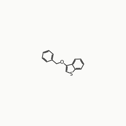 c1ccc(COc2csc3ccccc23)cc1